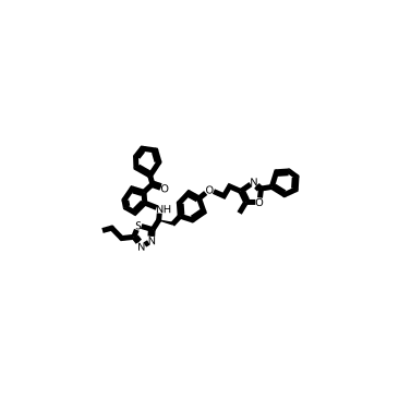 CCCc1nnc([C@H](Cc2ccc(OCCc3nc(-c4ccccc4)oc3C)cc2)Nc2ccccc2C(=O)c2ccccc2)s1